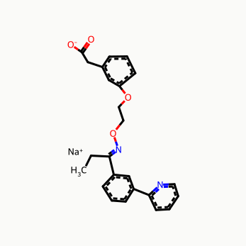 CC/C(=N\OCCOc1cccc(CC(=O)[O-])c1)c1cccc(-c2ccccn2)c1.[Na+]